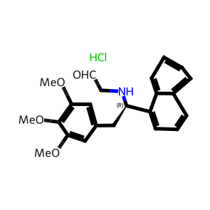 COc1cc(C[C@@H](NCC=O)c2cccc3ccccc23)cc(OC)c1OC.Cl